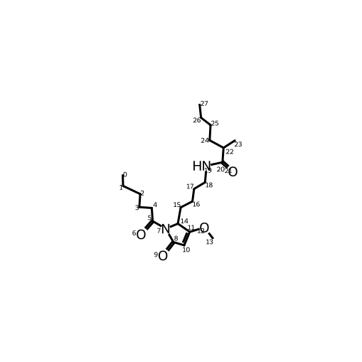 CCCCCC(=O)N1C(=O)C=C(OC)C1CCCCNC(=O)C(C)CCCC